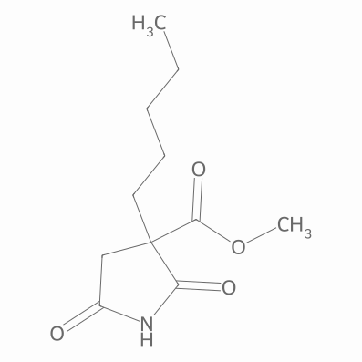 CCCCCC1(C(=O)OC)CC(=O)NC1=O